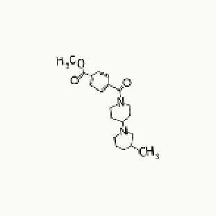 COC(=O)c1ccc(C(=O)N2CCC(N3CCCC(C)C3)CC2)cc1